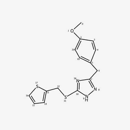 COc1ccc(Cc2n[nH]c(SCc3cccs3)n2)cc1